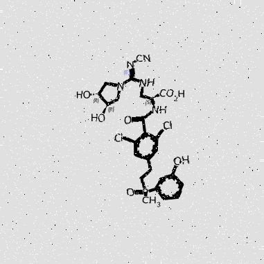 CP(=O)(CCc1cc(Cl)c(C(=O)N[C@@H](CN/C(=N\C#N)N2C[C@@H](O)[C@H](O)C2)C(=O)O)c(Cl)c1)c1cccc(O)c1